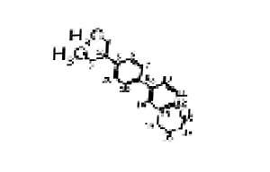 CCC(CC)c1ccc(-c2ccc3c(c2)CCCO3)cc1